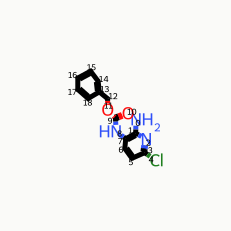 Nc1nc(Cl)ccc1NC(=O)OCc1ccccc1